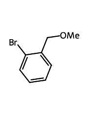 [C]OCc1ccccc1Br